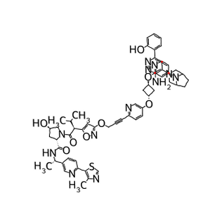 Cc1ncsc1-c1ccc([C@H](C)NC(=O)[C@@H]2C[C@@H](O)CN2C(=O)[C@H](c2cc(OCC#Cc3ccc(O[C@H]4C[C@H](Oc5cc(N6C7CCC6CN(c6cc(-c8ccccc8O)nnc6N)C7)ccn5)C4)cn3)no2)C(C)C)cn1